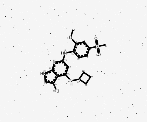 COc1cc(S(C)(=O)=O)ccc1Nc1cc(NC2CCC2)c2c(Cl)c[nH]c2n1